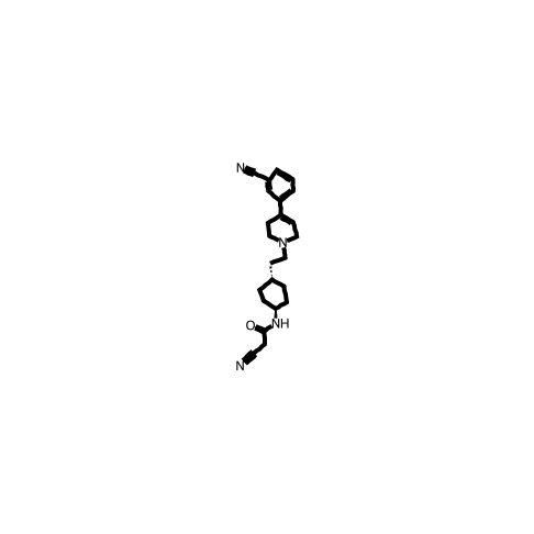 N#CCC(=O)N[C@H]1CC[C@H](CCN2CC=C(c3cccc(C#N)c3)CC2)CC1